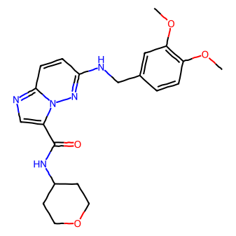 COc1ccc(CNc2ccc3ncc(C(=O)NC4CCOCC4)n3n2)cc1OC